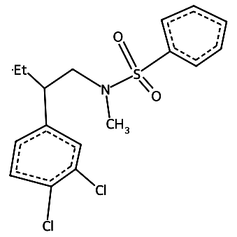 C[CH]C(CN(C)S(=O)(=O)c1ccccc1)c1ccc(Cl)c(Cl)c1